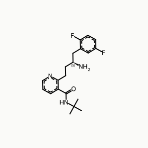 CC(C)(C)NC(=O)c1cccnc1CC[C@H](N)Cc1cc(F)ccc1F